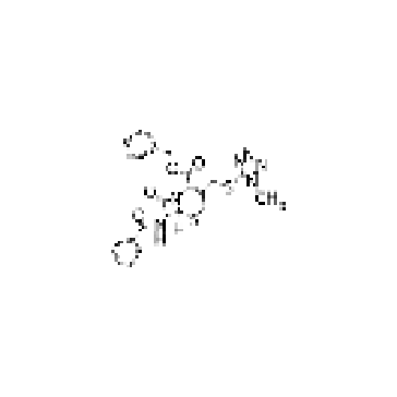 Cn1nnnc1SCC1=C(C(=O)OCc2ccccc2)N2C(=O)C(NC(=O)c3ccccc3)[C@@H]2SC1